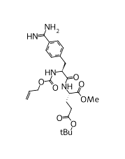 C=CCOC(=O)N[C@@H](Cc1ccc(C(=N)N)cc1)C(=O)N[C@@H](CCC(=O)OC(C)(C)C)C(=O)OC